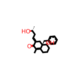 CC1=C2CCC[C@H](O)[C@@]2(Cc2ccccc2)C/C(=C\C[C@@H](C)O)C1=O